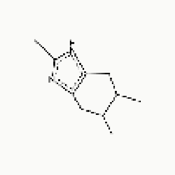 Cc1nc2c([nH]1)CC(C)C(C)C2